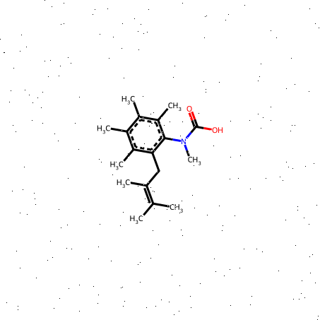 CC(C)=C(C)Cc1c(C)c(C)c(C)c(C)c1N(C)C(=O)O